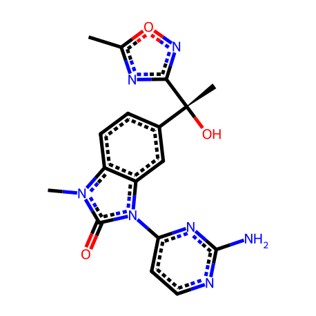 Cc1nc([C@](C)(O)c2ccc3c(c2)n(-c2ccnc(N)n2)c(=O)n3C)no1